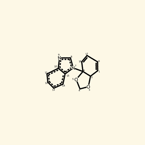 C1=CC2OCOC2(n2cnc3ccccc32)C=C1